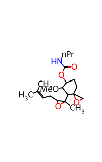 CCCNC(=O)OC1CCC2(CO2)C(C2(C)OC2CC=C(C)C)C1OC